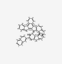 c1ccc2cc(C3=Nc4sc5ccccc5c4C(n4c5c6ccccc6ccc5c5c6ccccc6c6c7ccccc7sc6c54)N3)ccc2c1